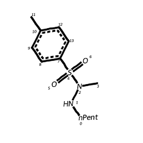 CCCCCNN(C)S(=O)(=O)c1ccc(C)cc1